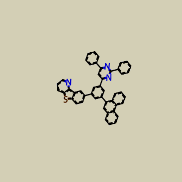 c1ccc(-c2cc(-c3cc(-c4ccc5sc6cccnc6c5c4)cc(-c4cc5ccccc5c5ccccc45)c3)nc(-c3ccccc3)n2)cc1